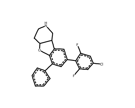 Fc1cc(Cl)cc(F)c1-c1cc(-c2ccccc2)c2c(c1)C1CNCCC1O2